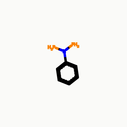 PN(P)c1ccccc1